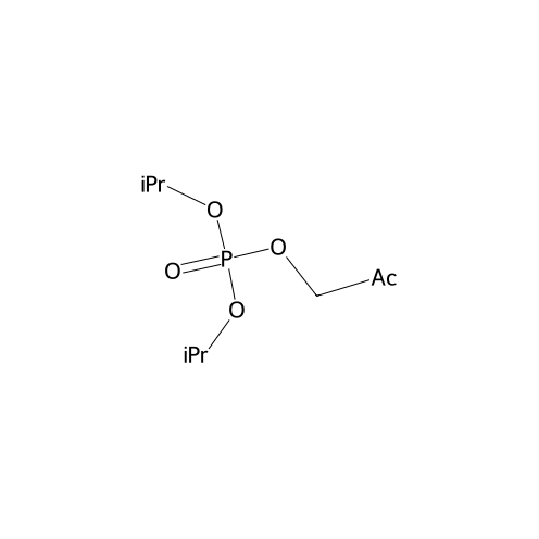 CC(=O)COP(=O)(OC(C)C)OC(C)C